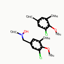 CCCCOc1c(Cl)cc(C=O)cc1OC.CCCCOc1c(Cl)cc(CN(O)C=O)cc1OC